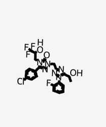 CC(O)c1nc(Cn2nc(-c3ccc(Cl)cc3)n(CC(O)C(F)(F)F)c2=O)nn1-c1ccccc1F